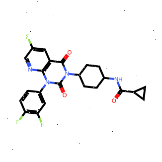 O=C(NC1CCC(n2c(=O)c3cc(F)cnc3n(-c3ccc(F)c(F)c3)c2=O)CC1)C1CC1